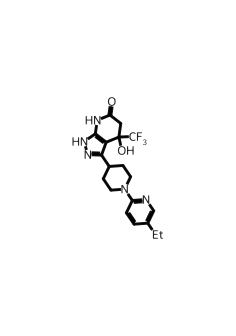 CCc1ccc(N2CCC(c3n[nH]c4c3C(O)(C(F)(F)F)CC(=O)N4)CC2)nc1